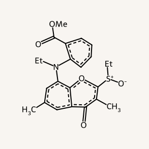 CCN(c1ccccc1C(=O)OC)c1cc(C)cc2c(=O)c(C)c([S+]([O-])CC)oc12